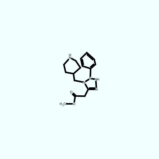 COC(=O)CC1=NNN(c2ccccc2)N1CC1CCNCC1